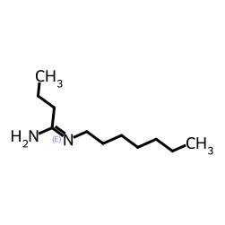 CCCCCCC/N=C(/N)CCC